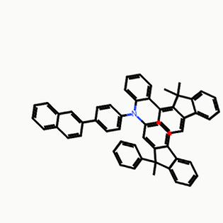 CC1(C)c2ccccc2-c2cccc(-c3ccccc3N(c3ccc(-c4ccc5ccccc5c4)cc3)c3ccc4c(c3)C(C)(c3ccccc3)c3ccccc3-4)c21